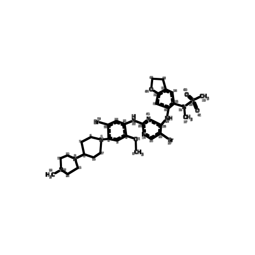 COc1cc(N2CCC(N3CCN(C)CC3)CC2)c(Br)cc1Nc1ncc(Br)c(Nc2cc3c(cc2N(C)S(C)(=O)=O)CCO3)n1